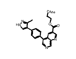 COCCOC(=O)c1cnc2cncc(-c3ccc(-c4c[nH]nc4C)cc3)c2c1